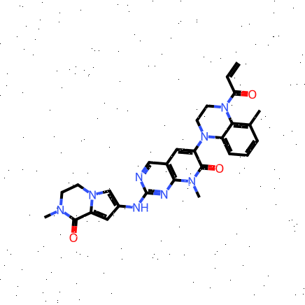 C=CC(=O)N1CCN(c2cc3cnc(Nc4cc5n(c4)CCN(C)C5=O)nc3n(C)c2=O)c2cccc(C)c21